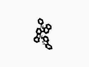 c1ccc(-n2c3ccc4c5ccccc5n(-c5cccc6c5sc5ccccc56)c4c3c3ccc4ccccc4c32)cc1